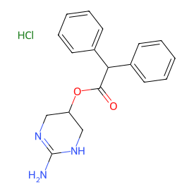 Cl.NC1=NCC(OC(=O)C(c2ccccc2)c2ccccc2)CN1